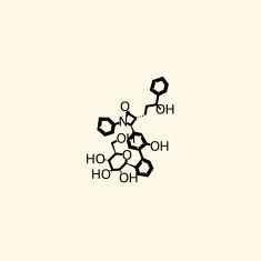 O=C1[C@H](CC[C@H](O)c2ccccc2)[C@@H](c2ccc(-c3ccccc3[C@@H]3O[C@H](CO)[C@@H](O)[C@H](O)[C@H]3O)c(O)c2)N1c1ccccc1